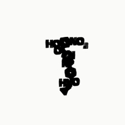 O=C(NCC1CC1)c1ccc(-c2cc3ncc(C(=O)c4cc([N+](=O)[O-])ccc4O)cn3n2)cc1